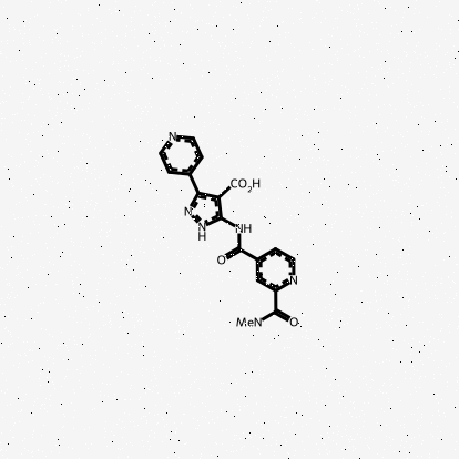 CNC(=O)c1cc(C(=O)Nc2[nH]nc(-c3ccncc3)c2C(=O)O)ccn1